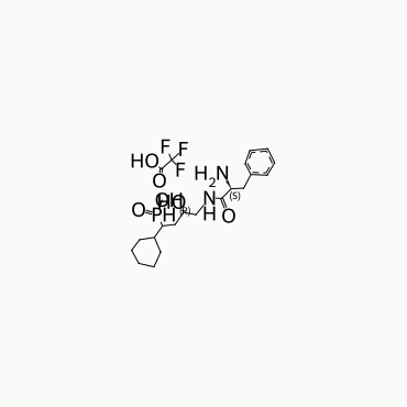 N[C@@H](Cc1ccccc1)C(=O)NC[C@H](O)CC(C1CCCCC1)[PH](=O)O.O=C(O)C(F)(F)F